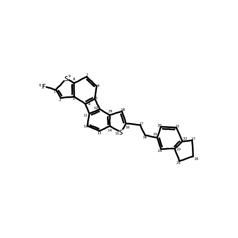 Fc1cc2c3c(ccc2s1)-c1c-3ccc2sc(CCc3ccc4c(c3)CCC4)cc12